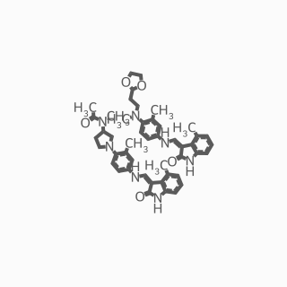 CC(=O)N(C)C1CCN(c2ccc(NC=C3C(=O)Nc4cccc(C)c43)cc2C)C1.Cc1cc(NC=C2C(=O)Nc3cccc(C)c32)ccc1N(C)CCC1OCCO1